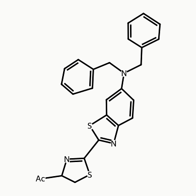 CC(=O)C1CSC(c2nc3ccc(N(Cc4ccccc4)Cc4ccccc4)cc3s2)=N1